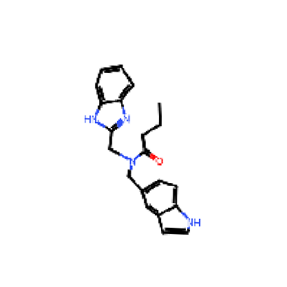 CCCC(=O)N(Cc1ccc2[nH]ccc2c1)Cc1nc2ccccc2[nH]1